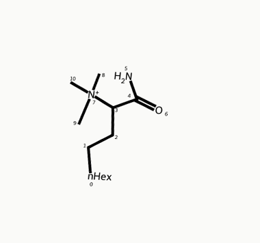 CCCCCCCCC(C(N)=O)[N+](C)(C)C